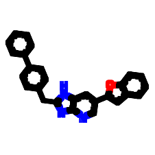 c1ccc(-c2ccc(Cc3nc4ncc(-c5cc6ccccc6o5)cc4[nH]3)cc2)cc1